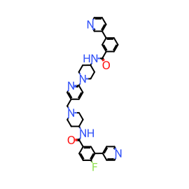 O=C(NC1CCN(Cc2ccc(N3CCC(NC(=O)c4cccc(-c5cccnc5)c4)CC3)nc2)CC1)c1ccc(F)c(-c2ccncc2)c1